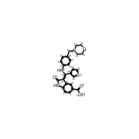 O=C1Nc2ccc(C(=O)O)cc2/C1=C(/Nc1ccc(CN2CCOCC2)cc1)c1ccsc1